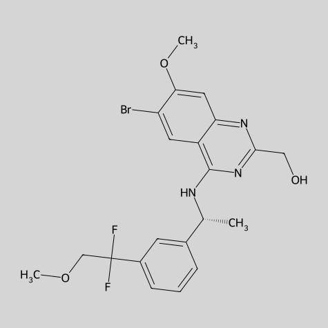 COCC(F)(F)c1cccc([C@@H](C)Nc2nc(CO)nc3cc(OC)c(Br)cc23)c1